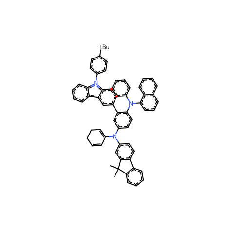 CC(C)(C)c1ccc(-n2c3ccccc3c3cc(-c4cc(N(C5=CCCC=C5)c5ccc6c(c5)C(C)(C)c5ccccc5-6)ccc4N(c4ccccc4)c4cccc5ccccc45)ccc32)cc1